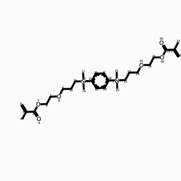 C=C(C)C(=O)OCCOCCC[Si](C)(C)c1ccc([Si](C)(C)CCCOCCOC(=O)C(=C)C)cc1